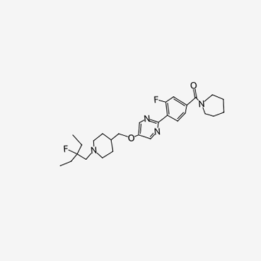 CCC(F)(CC)CN1CCC(COc2cnc(-c3ccc(C(=O)N4CCCCC4)cc3F)nc2)CC1